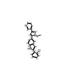 CCn1nc(-c2cccnc2)cc1-c1ccc2[nH]c(-c3ccccc3Cl)cc2c1